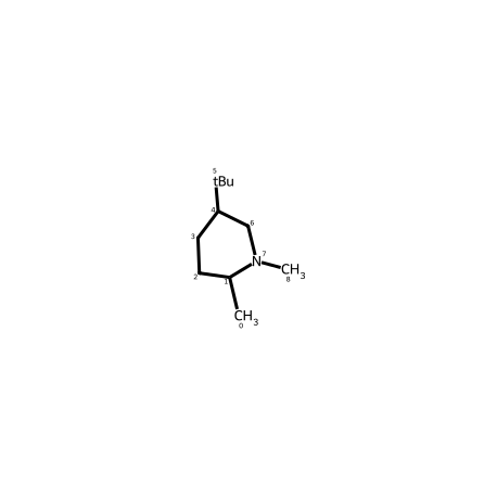 CC1CCC(C(C)(C)C)CN1C